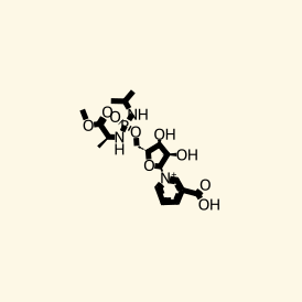 COC(=O)[C@H](C)NP(=O)(NC(C)C)OC[C@H]1O[C@@H]([n+]2cccc(C(=O)O)c2)[C@H](O)[C@@H]1O